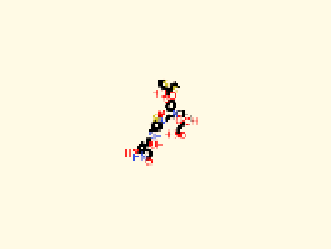 CN(CCCn1c(=O)sc2cc(CNCC(O)c3ccc(O)c4[nH]c(=O)ccc34)ccc21)[C@H]1CC[C@H](OC(=O)C(O)(c2cccs2)c2cccs2)CC1.O=C(O)/C=C/C(=O)O